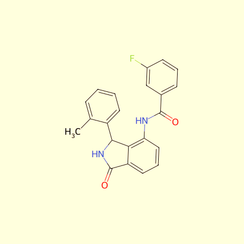 Cc1ccccc1C1NC(=O)c2cccc(NC(=O)c3cccc(F)c3)c21